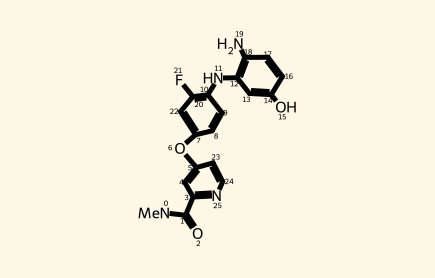 CNC(=O)c1cc(Oc2ccc(Nc3cc(O)ccc3N)c(F)c2)ccn1